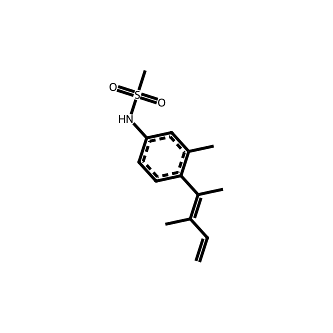 C=C/C(C)=C(\C)c1ccc(NS(C)(=O)=O)cc1C